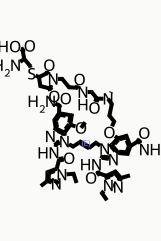 CCn1nc(C)cc1C(=O)Nc1nc2cc(C(N)=O)cc(OC)c2n1C/C=C/Cn1c(NC(=O)c2cc(C)nn2CC)nc2cc(C(N)=O)cc(OCCCN(C)C(=O)CNC(=O)CCN3C(=O)CC(SCC(N)C(=O)O)C3=O)c21